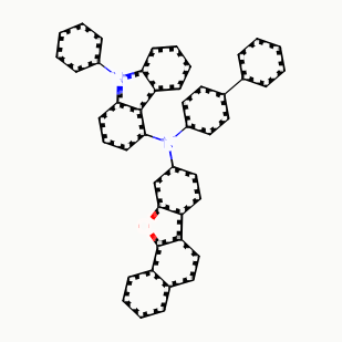 c1ccc(-c2ccc(N(c3ccc4c(c3)oc3c5ccccc5ccc43)c3cccc4c3c3ccccc3n4-c3ccccc3)cc2)cc1